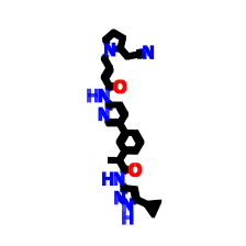 CC(C(=O)Nc1cc(C2CC2)[nH]n1)c1cccc(-c2ccc(NC(=O)/C=C/CN3CCCC3CC#N)nc2)c1